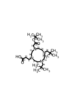 CC(C)(C)CN1CCN(CCC(=O)O)CCN(CC(=O)OC(C)(C)C)CCN(CC(C)(C)C)CC1